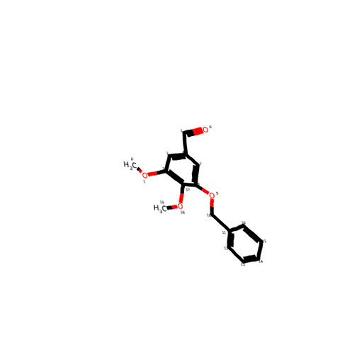 COc1cc(C=O)cc(OCc2ccccc2)c1OC